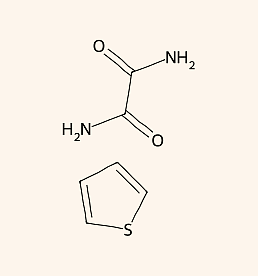 NC(=O)C(N)=O.c1ccsc1